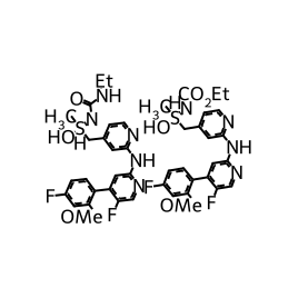 CCNC(=O)N=[SH](C)(O)Cc1ccnc(Nc2cc(-c3ccc(F)cc3OC)c(F)cn2)c1.CCOC(=O)N=[SH](C)(O)Cc1ccnc(Nc2cc(-c3ccc(F)cc3OC)c(F)cn2)c1